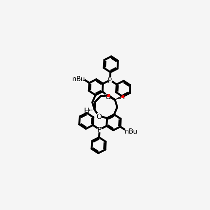 CCCCc1cc2c(c(P(c3ccccc3)c3ccccc3)c1)O[C@@H]1CCC[C@H](C2)Oc2c(cc(CCCC)cc2P(c2ccccc2)c2ccccc2)C1